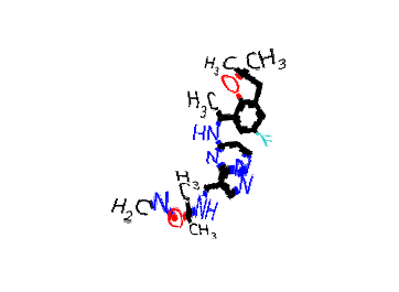 C=NOC(C)(C)NCc1cnn2ccc(NC(C)c3cc(F)cc4c3OC(C)(C)C4)nc12